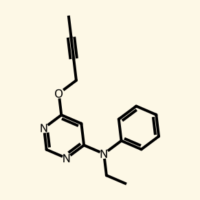 CC#CCOc1cc(N(CC)c2ccccc2)ncn1